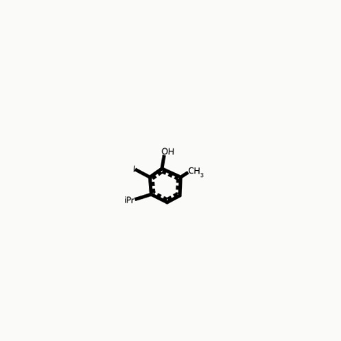 Cc1ccc(C(C)C)c(I)c1O